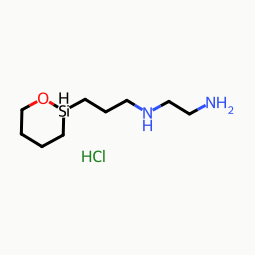 Cl.NCCNCCC[SiH]1CCCCO1